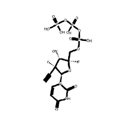 C#C[C@]1(F)[C@H](n2ccc(=O)[nH]c2=O)O[C@](F)(COP(=O)(O)OP(=O)(O)OP(=O)(O)O)[C@H]1N=O